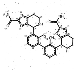 Cc1c(-c2cccc(C3NCCc4nc(C(N)=O)oc43)c2C)cccc1C1NCCc2nc(C(N)=O)oc21